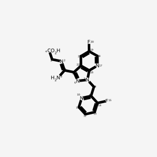 NC(=NCC(=O)O)c1nn(Cc2ncccc2F)c2ncc(F)cc12